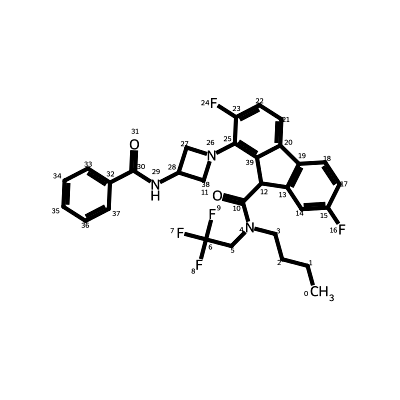 CCCCN(CC(F)(F)F)C(=O)C1c2cc(F)ccc2-c2ccc(F)c(N3CC(NC(=O)c4ccccc4)C3)c21